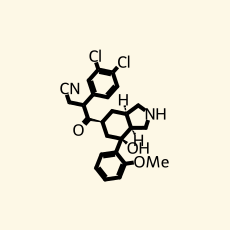 COc1ccccc1[C@]1(O)C[C@@H](C(=O)C(CC#N)c2ccc(Cl)c(Cl)c2)C[C@H]2CNC[C@H]21